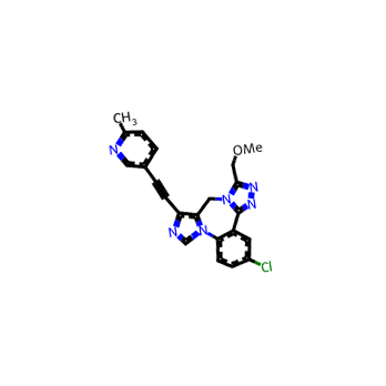 COCc1nnc2n1Cc1c(C#Cc3ccc(C)nc3)ncn1-c1ccc(Cl)cc1-2